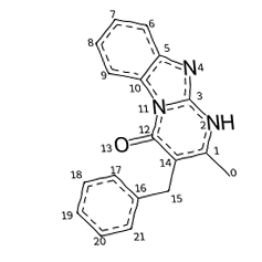 Cc1[nH]c2nc3ccccc3n2c(=O)c1Cc1ccccc1